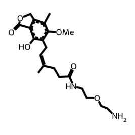 COc1c(C)c2c(c(O)c1CC=C(C)CCC(=O)NCCOCCN)C(=O)OC2